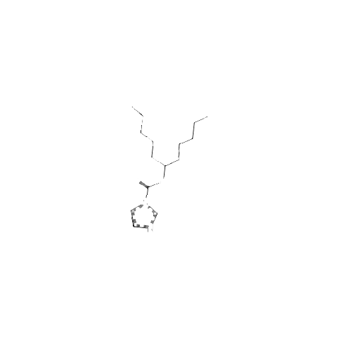 CCCCCC(CCCCC)OC(=O)n1ccnc1